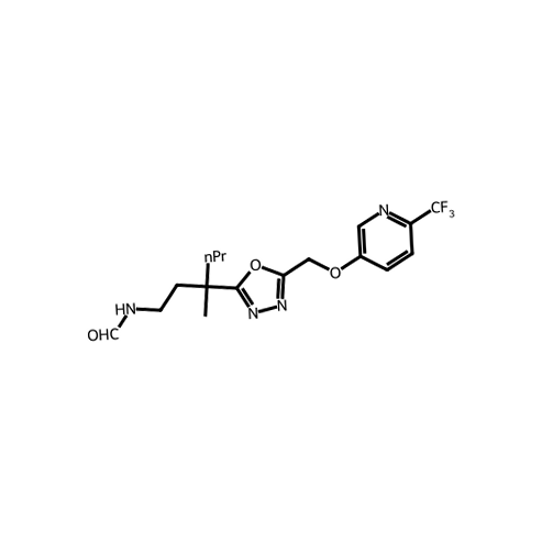 CCCC(C)(CCNC=O)c1nnc(COc2ccc(C(F)(F)F)nc2)o1